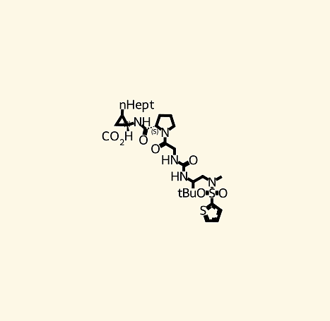 CCCCCCCC1C[C@]1(NC(=O)[C@@H]1CCCN1C(=O)CNC(=O)NC(CN(C)S(=O)(=O)c1cccs1)C(C)(C)C)C(=O)O